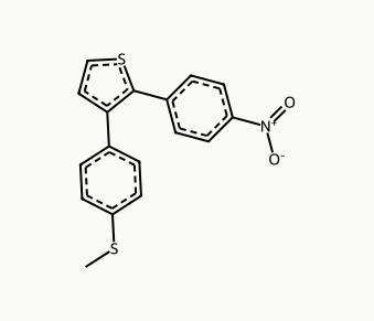 CSc1ccc(-c2ccsc2-c2ccc([N+](=O)[O-])cc2)cc1